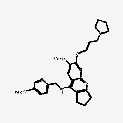 COc1ccc(CNc2c3c(nc4cc(OCCCN5CCCC5)c(OC)cc24)CCC3)cc1